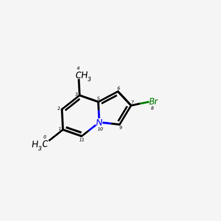 Cc1cc(C)c2cc(Br)cn2c1